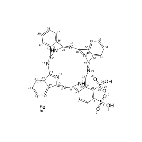 O=S(=O)(O)c1ccc2c3nc4nc(nc5[nH]c(nc6nc(nc([nH]3)c2c1S(=O)(=O)O)-c1ccccc1-6)c1ccccc51)-c1ccccc1-4.[Fe]